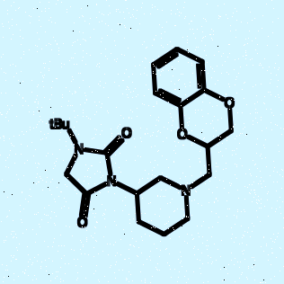 CC(C)(C)N1CC(=O)N(C2CCCN(CC3COc4ccccc4O3)C2)C1=O